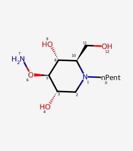 CCCCCN1C[C@H](O)[C@@H](ON)[C@H](O)[C@H]1CO